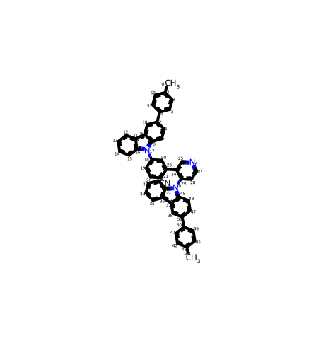 Cc1ccc(-c2ccc3c(c2)c2ccccc2n3-c2ccc(C#N)c(-c3cnccc3-n3c4ccccc4c4cc(-c5ccc(C)cc5)ccc43)c2)cc1